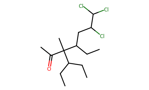 CCC(CC)C(C)(C(C)=O)C(CC)CC(Cl)C(Cl)Cl